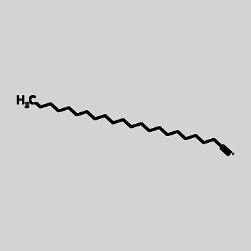 [C]#CCCCCCCCCCCCCCCCCCCCCC